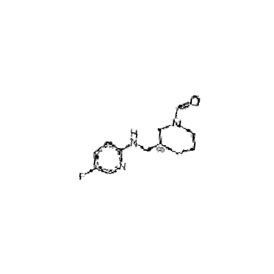 O=CN1CCC[C@@H](CNc2ccc(F)cn2)C1